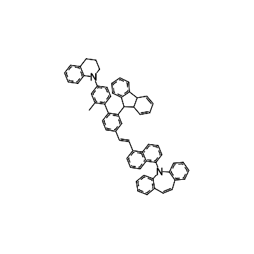 Cc1cc(N2CCCc3ccccc32)ccc1-c1ccc(/C=C/c2cccc3c(N4c5ccccc5C=Cc5ccccc54)cccc23)cc1C1c2ccccc2C2C=CC=CC21